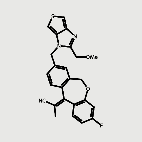 COCc1nc2cscc2n1Cc1ccc2c(c1)COc1cc(F)ccc1C2=C(C)C#N